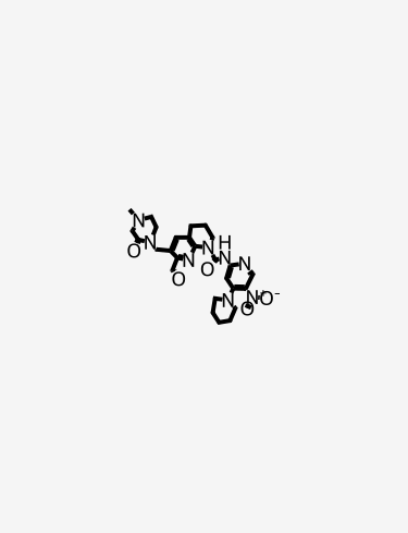 CN1CCN(Cc2cc3c(nc2C=O)N(C(=O)Nc2cc(N4CCCCC4)c([N+](=O)[O-])cn2)CCC3)C(=O)C1